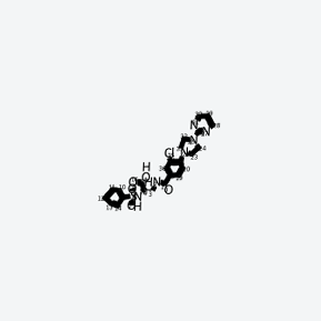 O=C(NC[C@H](NS(=O)(=O)c1ccccc1)C(=O)O)c1ccc(N2CCN(c3ncccn3)CC2)c(Cl)c1